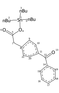 CCC[CH2][Sn]([CH2]CCC)([CH2]CCC)[O]C(=O)Cc1ccc(C(=O)c2ccccc2)cc1